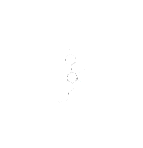 CCCC(C)CCCc1ccc(C2=CCC(C)CC2)c(F)c1F